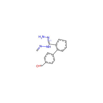 C=NN/C(=N\N)c1ccccc1-c1ccc(C=O)cc1